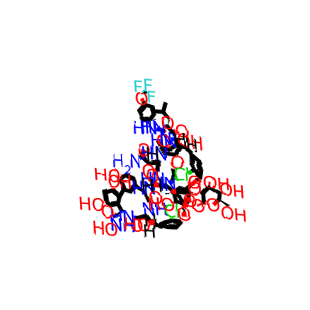 CN[C@H](CC(C)C)C(=O)N[C@H]1C(=O)N[C@@H](CC(N)=O)C(=O)N[C@H]2C(=O)N[C@H]3C(=O)N[C@H](C(=O)N[C@@H](C(=O)NO)c4cc(O)cc(O)c4-c4cc3ccc4O)[C@H](O)c3ccc(c(Cl)c3)Oc3cc2cc(c3O[C@@H]2O[C@H](CO)[C@@H](O)[C@H](O)[C@H]2O[C@H]2C[C@](C)(NCCOC3CCN(C(=O)Nc4ccc(OC(F)(F)F)cc4)CC3)[C@H](O)[C@H](C)O2)Oc2ccc(cc2Cl)[C@H]1O